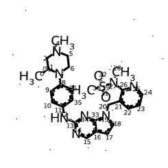 C[C@H]1CN(C)CCN1c1ccc(Nc2ncc3ccn(Cc4cccnc4N(C)S(C)(=O)=O)c3n2)cc1